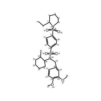 CCC1CCCCN1S(=O)(=O)c1ccc(S(=O)(=O)N(Cc2ccc(OC)c(OC)c2)C2CCCCC2C)cc1